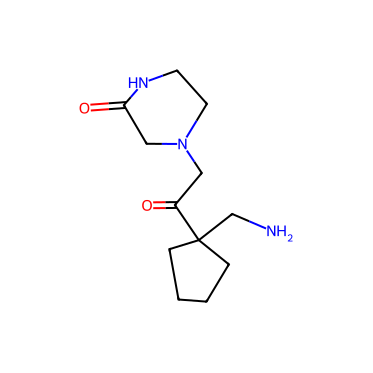 NCC1(C(=O)CN2CCNC(=O)C2)CCCC1